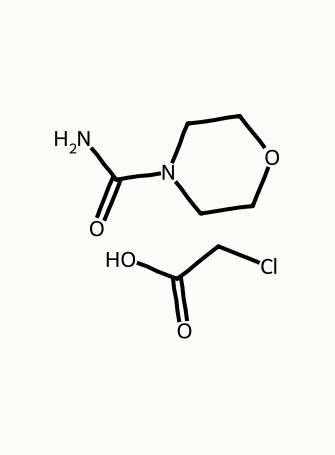 NC(=O)N1CCOCC1.O=C(O)CCl